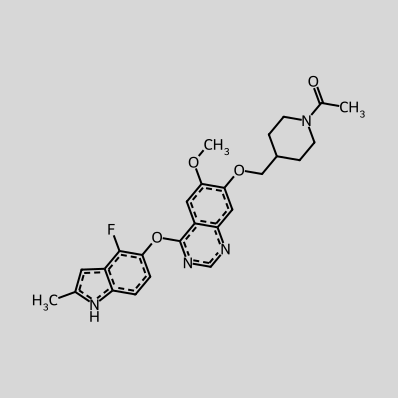 COc1cc2c(Oc3ccc4[nH]c(C)cc4c3F)ncnc2cc1OCC1CCN(C(C)=O)CC1